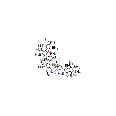 Bc1c(B)c(-c2c(B)c(B)c(B)c(-c3ncnc4c3sc3ccc(-c5c(B)c(B)c6c(B)c(B)c(B)c(B)c6c5B)cc34)c2B)c(B)c(-c2c(B)c(B)c(B)c3c2oc2c(B)c(B)c(B)c(B)c23)c1B